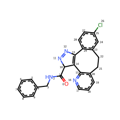 O=C(NCc1ccccc1)C1N=NC2=C1c1ncccc1CCc1cc(Cl)ccc12